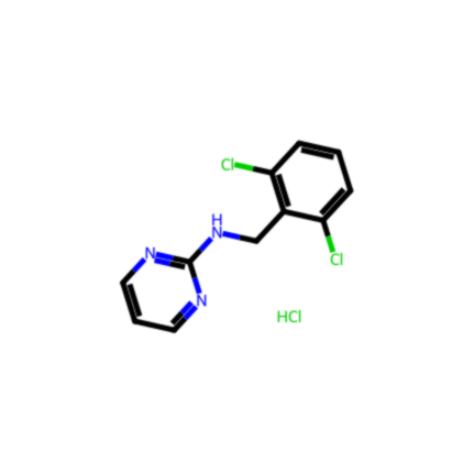 Cl.Clc1cccc(Cl)c1CNc1ncccn1